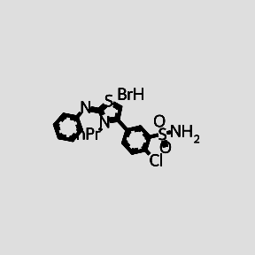 Br.CCCn1c(-c2ccc(Cl)c(S(N)(=O)=O)c2)cs/c1=N/c1ccccc1